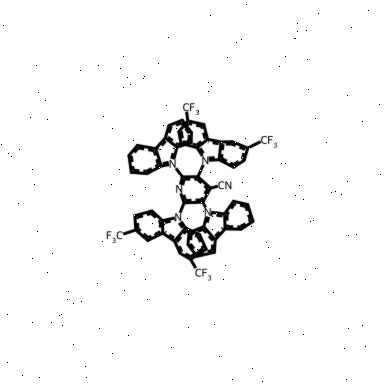 N#Cc1c(-n2c3ccccc3c3ccccc32)c(-n2c3ccc(C(F)(F)F)cc3c3cc(C(F)(F)F)ccc32)nc(-n2c3ccccc3c3ccccc32)c1-n1c2ccc(C(F)(F)F)cc2c2cc(C(F)(F)F)ccc21